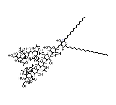 CCCCCCCCCCCCC/C=C/[C@@H](O)[C@H](CO[C@@H]1OC(CO)[C@@H](O[C@@H]2OC(CO)[C@H](O[C@@H]3OC(CO[C@]4(C(=O)O)CC(O)[C@@H](NC(C)=O)C([C@H](O)[C@@H](CO)O[C@]5(C(=O)O)CC(O)[C@@H](NC(C)=O)C([C@H](O)[C@H](O)CO)O5)O4)[C@H](O)[C@H](O[C@@H]4OC(CO)[C@H](O)[C@H](O[C@]5(C(=O)O)CC(O)[C@@H](NC(C)=O)C([C@H](O)[C@H](O)CO)O5)C4O)C3NC(C)=O)[C@H](O)C2O)[C@H](O)C1O)NC(=O)CCCCCCCCCCCCCCCCCCC